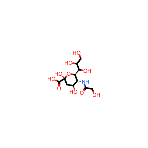 O=C(CO)N[C@@H]1[C@@H](O)C[C@](O)(C(=O)O)O[C@H]1C(O)C(O)CO